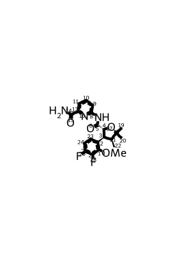 COc1c([C@H]2[C@H](C(=O)Nc3cccc(C(N)=O)n3)OC(C)(C)[C@H]2C)ccc(F)c1F